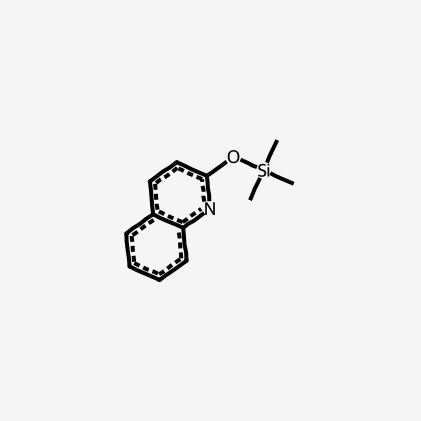 C[Si](C)(C)Oc1ccc2ccccc2n1